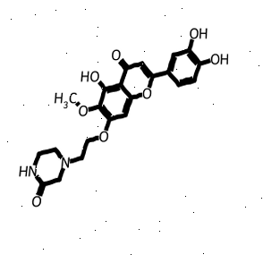 COc1c(OCCN2CCNC(=O)C2)cc2oc(-c3ccc(O)c(O)c3)cc(=O)c2c1O